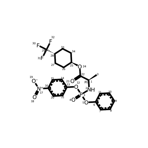 C[C@@H](NP(=O)(Oc1ccccc1)Oc1ccc([N+](=O)[O-])cc1)C(=O)O[C@H]1CC[C@H](C(F)(F)F)CC1